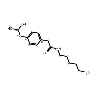 CCCCCCNC(=O)Cc1ccc(OB(O)O)cc1